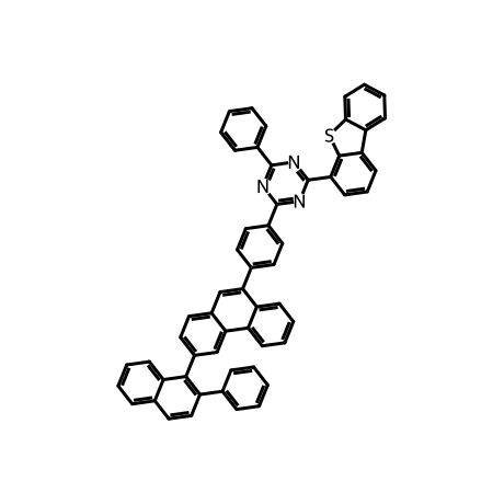 c1ccc(-c2nc(-c3ccc(-c4cc5ccc(-c6c(-c7ccccc7)ccc7ccccc67)cc5c5ccccc45)cc3)nc(-c3cccc4c3sc3ccccc34)n2)cc1